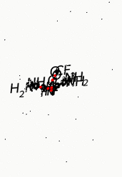 N=C(N)N1CC=C(c2ccc(-c3nnc(-c4ccc(C5=CCN(C(=N)N)CC5)cc4F)n3CCOCCOC(=O)C(F)(F)F)c(F)c2)CC1